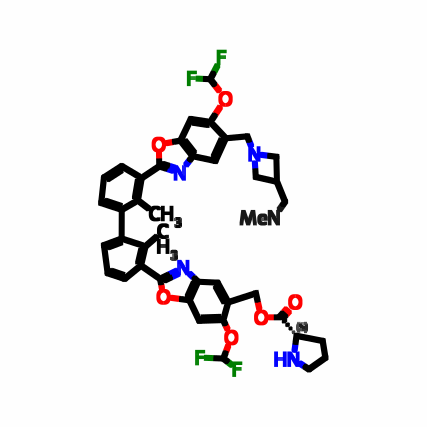 CNCC1CN(Cc2cc3nc(-c4cccc(-c5cccc(-c6nc7cc(COC(=O)[C@@H]8CCCN8)c(OC(F)F)cc7o6)c5C)c4C)oc3cc2OC(F)F)C1